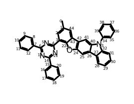 Cc1cc(-c2nc(-c3ccccc3)nc(-c3ccccc3)n2)c2oc3cc4c5ccccc5n(-c5ccccc5)c4cc3c2c1